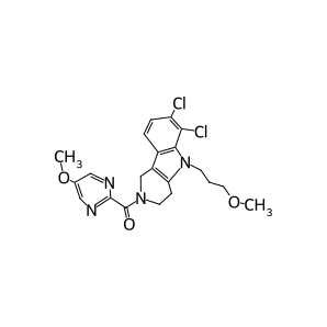 COCCCn1c2c(c3ccc(Cl)c(Cl)c31)CN(C(=O)c1ncc(OC)cn1)CC2